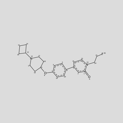 O=c1cc(-c2ccc(OC3CCN(C4CCC4)CC3)cc2)ccn1CCF